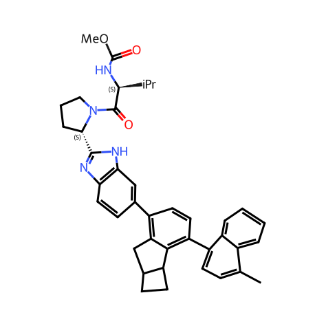 COC(=O)N[C@H](C(=O)N1CCC[C@H]1c1nc2ccc(-c3ccc(-c4ccc(C)c5ccccc45)c4c3CC3CCC43)cc2[nH]1)C(C)C